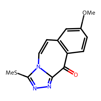 COc1ccc2c(=O)c3nnc(SC)n3ccc2c1